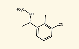 Cc1c(C#N)cccc1C(C)NC(=O)O